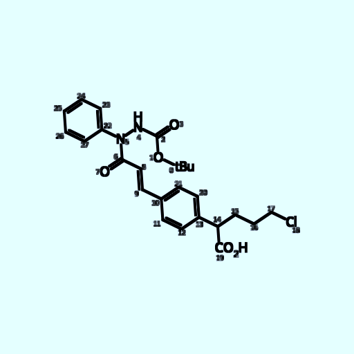 CC(C)(C)OC(=O)NN(C(=O)C=Cc1ccc(C(CCCCl)C(=O)O)cc1)c1ccccc1